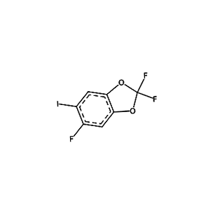 Fc1cc2c(cc1I)OC(F)(F)O2